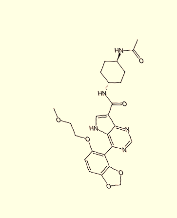 COCCOc1ccc2c(c1-c1ncnc3c(C(=O)N[C@H]4CC[C@H](NC(C)=O)CC4)c[nH]c13)OCO2